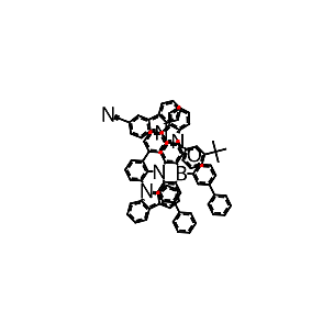 CC(C)(C)c1cccc(-n2c3ccccc3c3ccc(-c4cccc(-n5c6ccccc6c6ccccc65)c4N4c5ccc(-c6ccccc6)cc5B5c6cc(-c7ccccc7)ccc6Oc6cc(-n7c8ccccc8c8cc(C#N)ccc87)cc4c65)cc32)c1